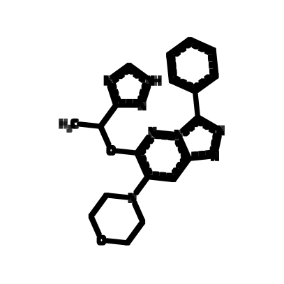 CC(Oc1nn2c(-c3ccccc3)nnc2cc1N1CCOCC1)c1nc[nH]n1